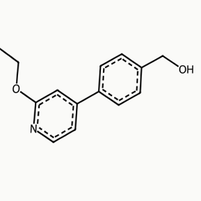 CCOc1cc(-c2ccc(CO)cc2)ccn1